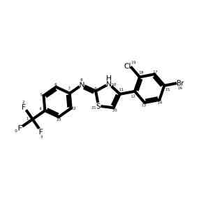 FC(F)(F)c1ccc(N=c2[nH]c(-c3ccc(Br)cc3Cl)cs2)cc1